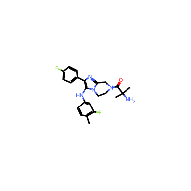 Cc1ccc(Nc2c(-c3ccc(F)cc3)nc3n2CCN(C(=O)C(C)(C)N)C3)cc1F